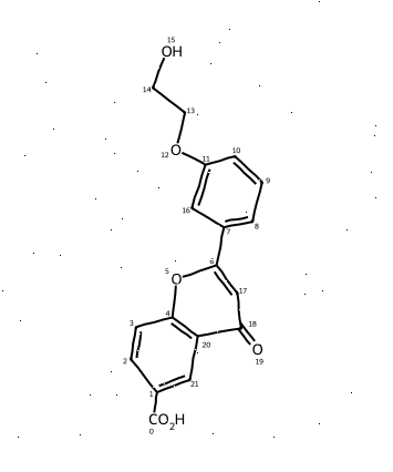 O=C(O)c1ccc2oc(-c3cccc(OCCO)c3)cc(=O)c2c1